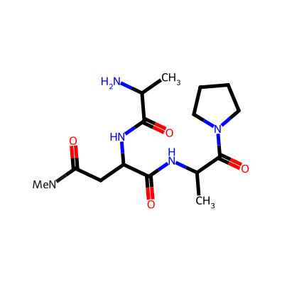 CNC(=O)CC(NC(=O)C(C)N)C(=O)NC(C)C(=O)N1CCCC1